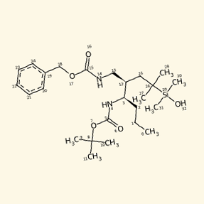 CCC[C@@H](NC(=O)OC(C)(C)C)[C@@H](CNC(=O)OCc1ccccc1)CC(C)(C)[Si](C)(C)O